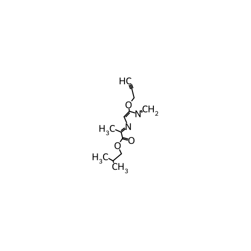 C#CCO/C(=C/N=C(\C)C(=O)OCC(C)C)N=C